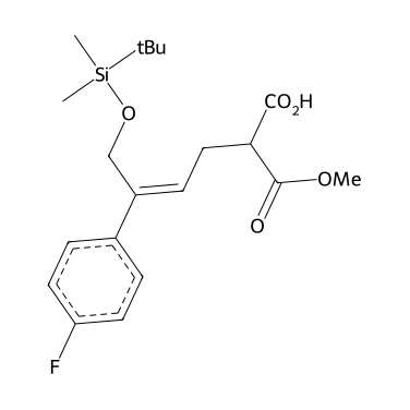 COC(=O)C(CC=C(CO[Si](C)(C)C(C)(C)C)c1ccc(F)cc1)C(=O)O